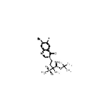 CC(C)(C)OC(=O)C(C)(CCn1cnc2cc(Br)c(F)cc2c1=O)S(C)(=O)=O